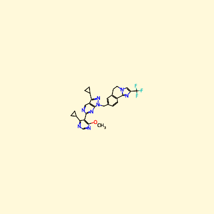 COc1ncnc(C2CC2)c1-c1ncc2c(C3CC3)nn(Cc3ccc4c(c3)CCn3cc(C(F)(F)F)nc3-4)c2n1